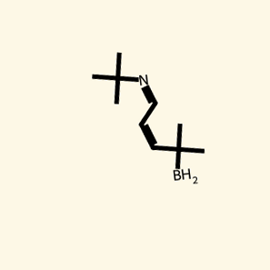 BC(C)(C)/C=C\C=N/C(C)(C)C